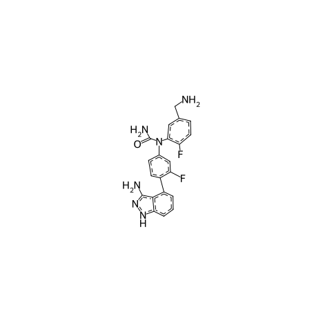 NCc1ccc(F)c(N(C(N)=O)c2ccc(-c3cccc4[nH]nc(N)c34)c(F)c2)c1